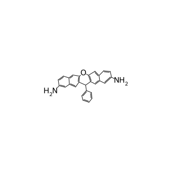 Nc1ccc2cc3c(cc2c1)C(c1ccccc1)c1cc2cc(N)ccc2cc1O3